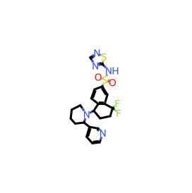 O=S(=O)(Nc1ncns1)c1ccc2c(c1)C(F)(F)CCC2N1CCCCC1c1cccnc1